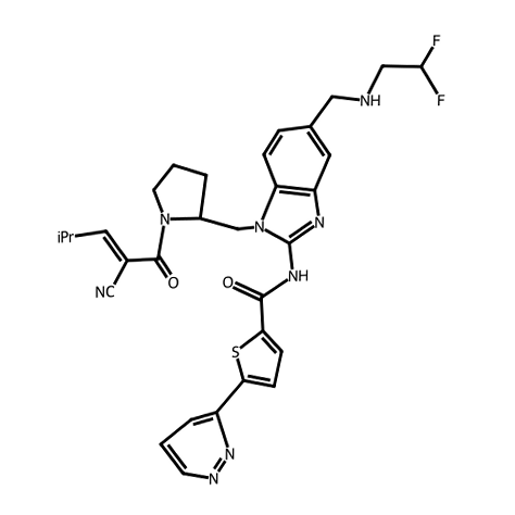 CC(C)C=C(C#N)C(=O)N1CCCC1Cn1c(NC(=O)c2ccc(-c3cccnn3)s2)nc2cc(CNCC(F)F)ccc21